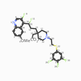 COc1ccc2ncc(F)c([C@@H](F)CCC3(CC(=O)O)CCN(CCSc4cc(F)c(F)c(F)c4)CC3)c2c1